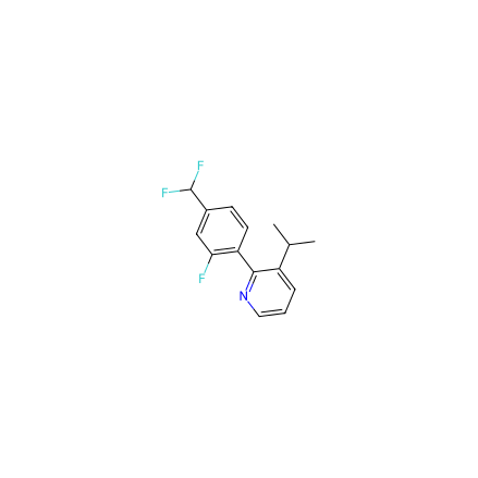 CC(C)c1cccnc1-c1ccc(C(F)F)cc1F